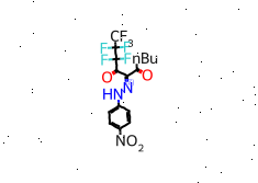 CCCCC(=O)/C(=N/Nc1ccc([N+](=O)[O-])cc1)C(=O)C(F)(F)C(F)(F)C(F)(F)F